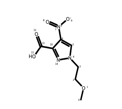 COCCn1cc([N+](=O)[O-])c(C(=O)O)n1